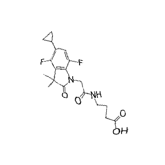 CC1(C)C(=O)N(CC(=O)NCCCC(=O)O)c2c(F)cc(C3CC3)c(F)c21